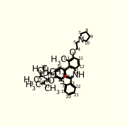 Cc1c(OCCN2CCCC2)ccc(Nc2csc3ccccc23)c1-c1ccc(O[Si](C(C)C)(C(C)C)C(C)C)cc1